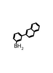 Bc1cccc(-c2ccc3ccccc3c2)c1